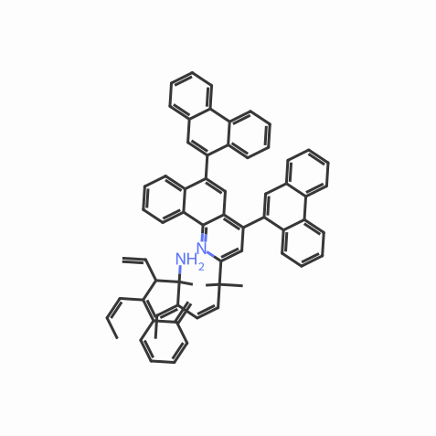 C=CC(C(/C=C\C)=c1/ccccc1=C)C(C)(N)C(/C=C\C(C)(C)c1cc(-c2cc3ccccc3c3ccccc23)c2cc(-c3cc4ccccc4c4ccccc34)c3ccccc3c2n1)=C/C